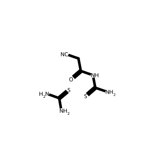 N#CCC(=O)NC(N)=S.NC(N)=S